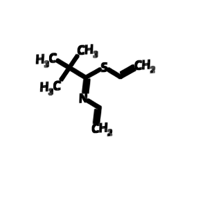 C=C/N=C(\SC=C)C(C)(C)C